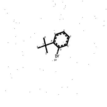 CC(C)(C)c1[c]cccc1Br